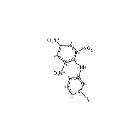 O=[N+]([O-])c1cc([N+](=O)[O-])c(Nc2cccc(I)c2)c([N+](=O)[O-])c1